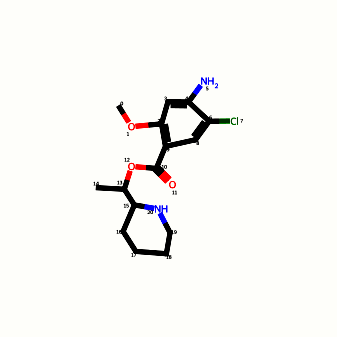 COc1cc(N)c(Cl)cc1C(=O)OC(C)C1CCCCN1